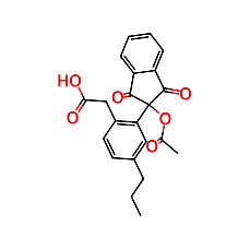 CCCc1ccc(CC(=O)O)c(C2(OC(C)=O)C(=O)c3ccccc3C2=O)c1